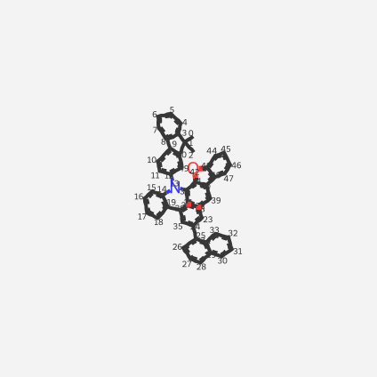 CC1(C)c2ccccc2-c2ccc(N(c3ccccc3-c3cccc(-c4cccc5ccccc45)c3)c3cccc4c3oc3ccccc34)cc21